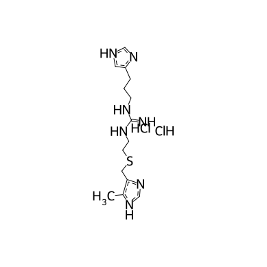 Cc1[nH]cnc1CSCCNC(=N)NCCCc1c[nH]cn1.Cl.Cl